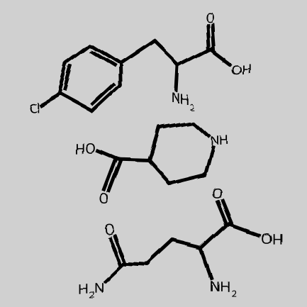 NC(=O)CCC(N)C(=O)O.NC(Cc1ccc(Cl)cc1)C(=O)O.O=C(O)C1CCNCC1